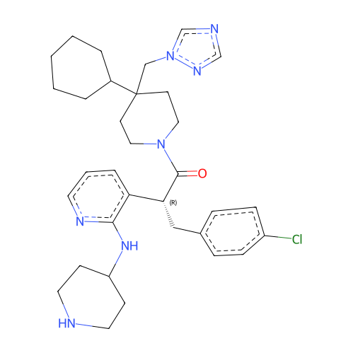 O=C([C@H](Cc1ccc(Cl)cc1)c1cccnc1NC1CCNCC1)N1CCC(Cn2cncn2)(C2CCCCC2)CC1